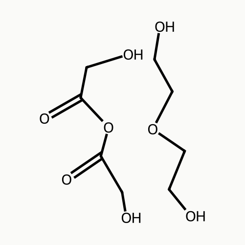 O=C(CO)OC(=O)CO.OCCOCCO